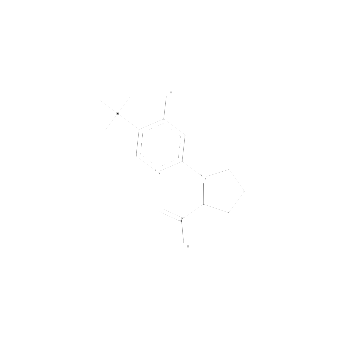 O=C(O)C1CCCN1c1cc(O)c(C(F)(F)F)cn1